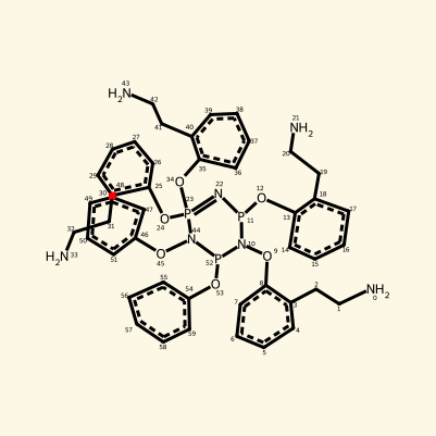 NCCc1ccccc1ON1P(Oc2ccccc2CCN)N=P(Oc2ccccc2CCN)(Oc2ccccc2CCN)N(Oc2ccccc2)P1Oc1ccccc1